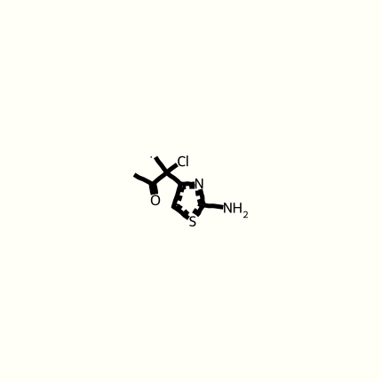 [CH2]C(Cl)(C(C)=O)c1csc(N)n1